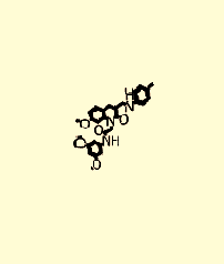 COc1cc(NC(=O)Cn2c(=O)c(CNc3ccc(C)cc3)cc3ccc(OC)cc32)cc(OC)c1